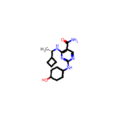 C[C@H](Nc1nc(NC2CCC(O)CC2)ncc1C(N)=O)C1CCC1